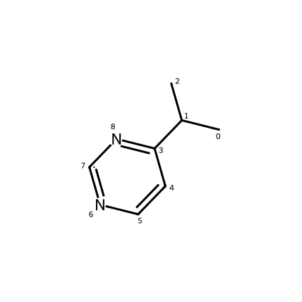 CC(C)c1ccn[c]n1